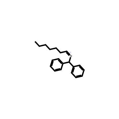 CCCCCC/C=N\C(c1ccccc1)c1ccccc1